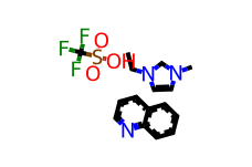 CCN1C=CN(C)C1.O=S(=O)(O)C(F)(F)F.c1ccc2ncccc2c1